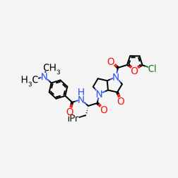 CC(C)C[C@H](NC(=O)c1ccc(N(C)C)cc1)C(=O)N1CCC2C1C(=O)CN2C(=O)c1ccc(Cl)o1